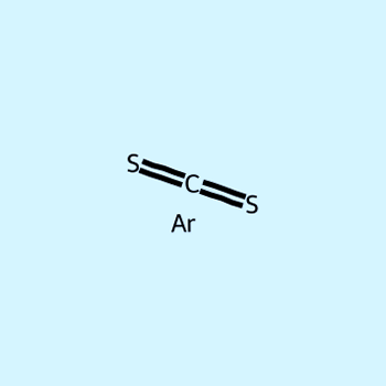 S=C=S.[Ar]